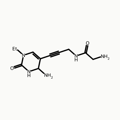 CCN1C=C(C#CCNC(=O)CN)C(N)NC1=O